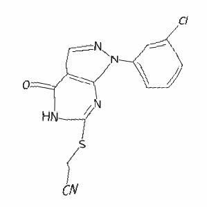 N#CCSc1nc2c(cnn2-c2cccc(Cl)c2)c(=O)[nH]1